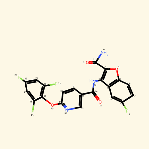 NC(=O)c1oc2ccc(F)cc2c1NC(=O)c1ccc(Oc2c(F)cc(F)cc2F)nc1